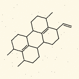 C=CC1CCC2C3=C1C(C)CCC3C1CCC(C)C3=C1C2CCC3C